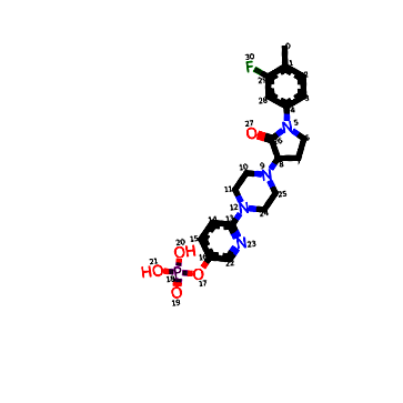 Cc1ccc(N2CCC(N3CCN(c4ccc(OP(=O)(O)O)cn4)CC3)C2=O)cc1F